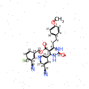 COc1ccc(CCC2=C(C(=O)OCc3ccc(F)c(C#N)c3)C(c3cncc(C#N)c3)NC(=O)N2)cc1